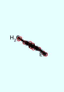 C=CC(=O)OCCCCCCOc1ccc2cc(C(=O)O[C@@H]3CO[C@H]4[C@@H]3OC[C@@H]4OC(=O)c3ccc4cc(OCCCCCCOCC5(CC)COC5)ccc4c3)ccc2c1